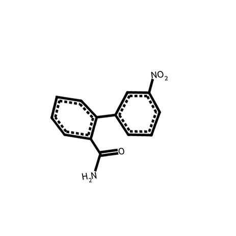 NC(=O)c1ccccc1-c1cccc([N+](=O)[O-])c1